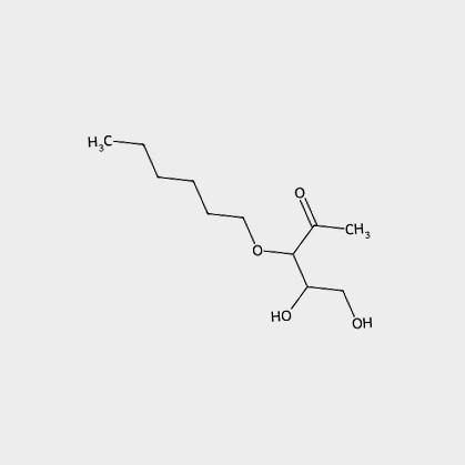 CCCCCCOC(C(C)=O)C(O)CO